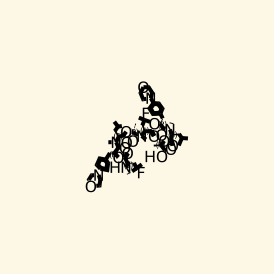 CN[C@@H](CC(C)(C)F)C(=O)O[C@H](Cc1ccc(N2CCOCC2)cc1)C(=O)N(C)[C@@H](CC(C)C)C(=O)O[C@H](C)C(=O)N(C)[C@@H](CC(C)(C)F)C(=O)O[C@H](Cc1ccc(N2CCOCC2)cc1)C(=O)N(C)[C@@H](CC(C)C)C(=O)O[C@H](C)C(=O)O